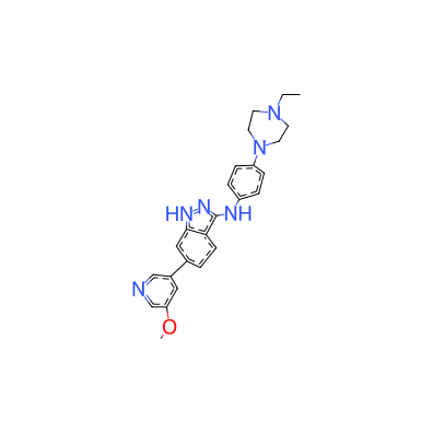 CCN1CCN(c2ccc(Nc3n[nH]c4cc(-c5cncc(OC)c5)ccc34)cc2)CC1